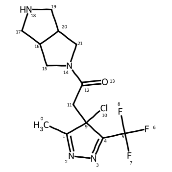 CC1=NN=C(C(F)(F)F)C1(Cl)CC(=O)N1CC2CNCC2C1